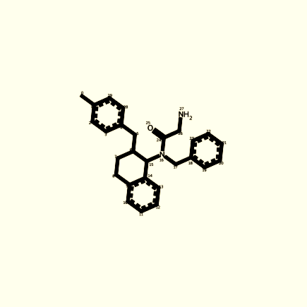 Cc1ccc(CC2CCc3ccccc3C2N(Cc2ccccc2)C(=O)CN)cc1